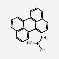 NP(O)O.c1cc2cccc3c4cccc5cccc(c(c1)c23)c54